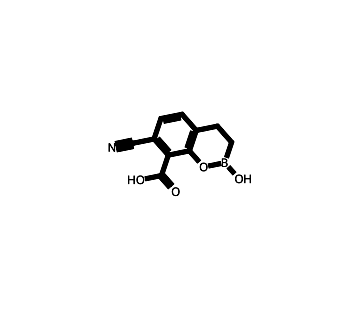 N#Cc1ccc2c(c1C(=O)O)OB(O)CC2